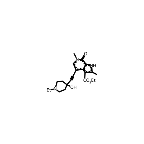 CCOC(=O)c1c(C)[nH]c2c(=O)n(C)cc(C#CC3(O)CCN(CC)CC3)c12